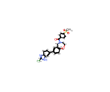 CS(=O)(=O)c1ccc(C(=O)N2CCOc3ccc(-c4ccc5nc(Cl)[nH]c5c4)cc3C2)cc1